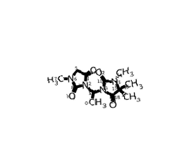 C[C](N1C(=O)CN(C)C1=O)N1C(=O)N(C)C(C)(C)C1=O